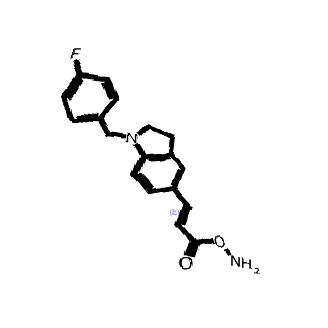 NOC(=O)/C=C/c1ccc2c(c1)CCN2Cc1ccc(F)cc1